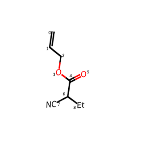 C=CCOC(=O)C(C#N)CC